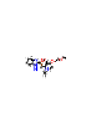 CCOCCOc1ccnc(C[S+]([O-])c2nc3ccccc3[nH]2)c1C.[NaH]